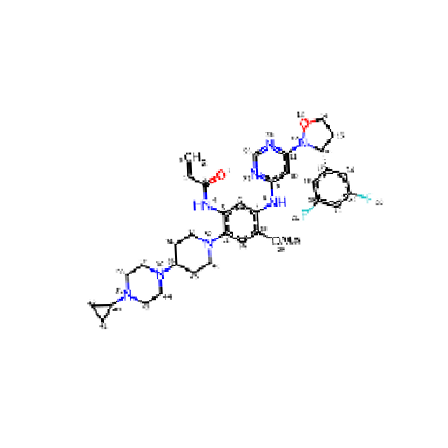 C=CC(=O)Nc1cc(Nc2cc(N3OCC[C@@H]3c3cc(F)cc(F)c3)ncn2)c(OC)cc1N1CCC(N2CCN(C3CC3)CC2)CC1